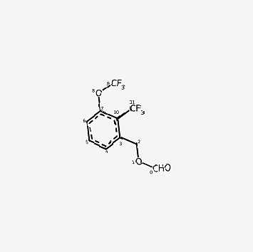 O=COCc1cccc(OC(F)(F)F)c1C(F)(F)F